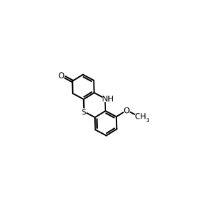 COc1cccc2c1NC1=C(CC(=O)C=C1)S2